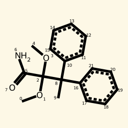 COC(OC)(C(N)=O)C(C)(c1ccccc1)c1ccccc1